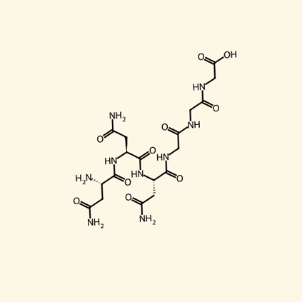 NC(=O)C[C@H](NC(=O)[C@H](CC(N)=O)NC(=O)[C@@H](N)CC(N)=O)C(=O)NCC(=O)NCC(=O)NCC(=O)O